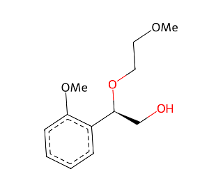 COCCO[C@@H](CO)c1ccccc1OC